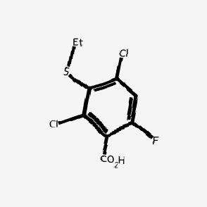 CCSc1c(Cl)cc(F)c(C(=O)O)c1Cl